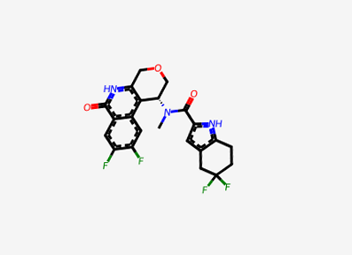 CN(C(=O)c1cc2c([nH]1)CCC(F)(F)C2)[C@H]1COCc2[nH]c(=O)c3cc(F)c(F)cc3c21